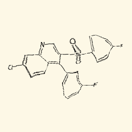 O=S(=O)(c1ccc(F)cc1)c1cnc2cc(Cl)ccc2c1-c1cccc(F)c1